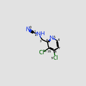 N#CNCc1nccc(Cl)c1Cl